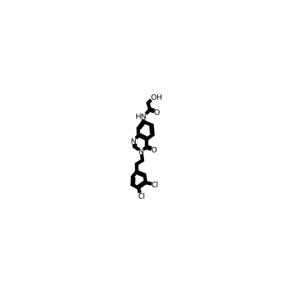 O=C(CO)Nc1ccc2c(=O)n(CCc3ccc(Cl)c(Cl)c3)cnc2c1